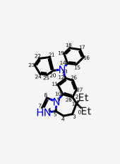 CCC1(CC)CCC2NC=CN2c2cc(N(c3ccccc3)c3ccccc3)ccc21